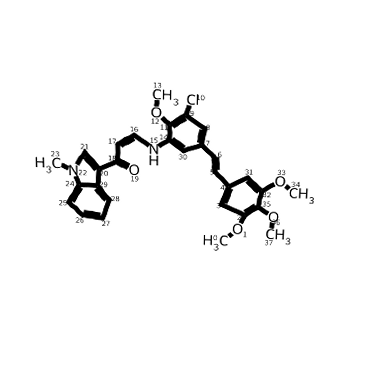 COc1cc(C=Cc2cc(Cl)c(OC)c(N/C=C\C(=O)c3cn(C)c4ccccc34)c2)cc(OC)c1OC